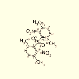 Cc1ccc(C)c(S(=O)(=O)c2c(C)ccc(C)c2[N+](=O)[O-])c1[N+](=O)[O-]